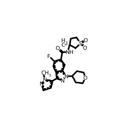 Cn1nccc1-c1nn(C2CCOCC2)c2cc(C(=O)N[C@@]3(C)CCS(=O)(=O)C3)c(F)cc12